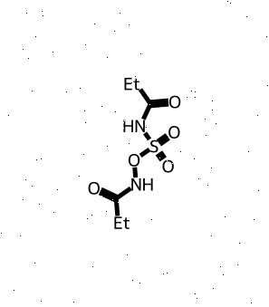 CCC(=O)NOS(=O)(=O)NC(=O)CC